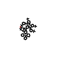 CC(C)(C)c1cccc(N2c3cc(C(C)(C)C)ccc3B3c4ccc(C(C)(C)C)cc4N(c4cccc(C(C)(C)C)c4)c4cc(N5c6ccc([Si](c7ccccc7)(c7ccccc7)c7ccccc7)cc6C6(C)CC(C)(C)C(C)(C)CC56C)cc2c43)c1